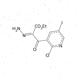 CCOC(=O)/C(=N\N)C(=O)c1cc(I)cnc1Cl